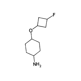 NC1CCC(OC2CC(F)C2)CC1